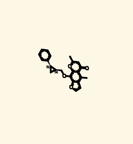 Cc1cc(=O)c2c(C)c3ccoc3c(OC[C@H]3C[C@@H]3c3ccccc3)c2o1